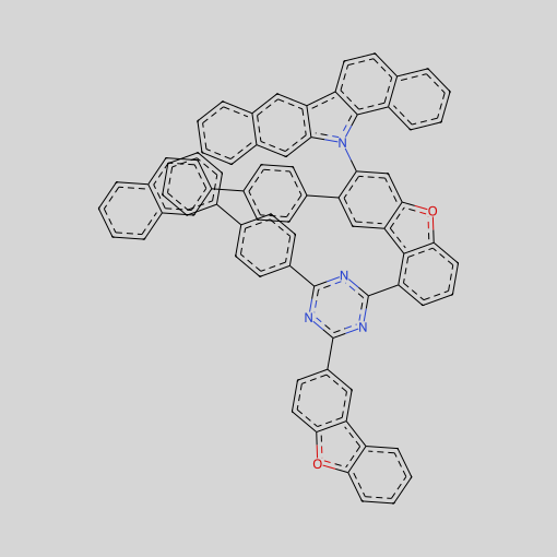 c1ccc(-c2ccc(-c3nc(-c4ccc5oc6ccccc6c5c4)nc(-c4cccc5oc6cc(-n7c8cc9ccccc9cc8c8ccc9ccccc9c87)c(-c7ccc(-c8ccc9ccccc9c8)cc7)cc6c45)n3)cc2)cc1